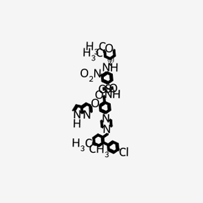 CC1(C)CCC(CN2CCN(c3ccc(C(=O)NS(=O)(=O)c4ccc(NC[C@H]5CCOC(C)(C)C5)c([N+](=O)[O-])c4)c(Oc4cnc5[nH]ccc5c4)c3)CC2)=C(c2ccc(Cl)cc2)C1